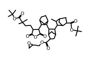 CC1C2CC(C(=O)OC(C)(C)C)C(C2)C1C1C2CC(C(=O)OCC3CO3)C(C2)C1C1C2CCC(C2)C1C1C(=O)OC(=O)C1CCC(C)(C)C(=O)OC(C)(C)C